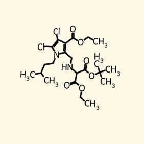 CCOC(=O)c1c(Cl)c(Cl)n(CCC(C)C)c1CNC(C(=O)OCC)C(=O)OC(C)(C)C